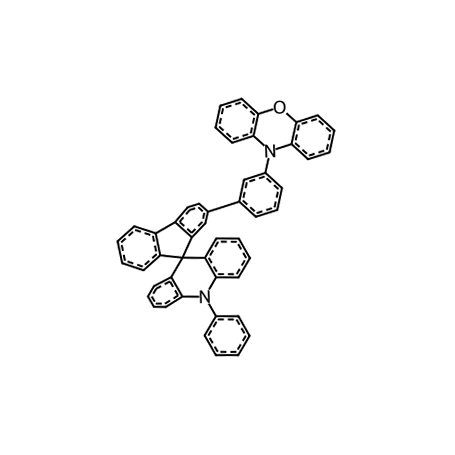 c1ccc(N2c3ccccc3C3(c4ccccc4-c4ccc(-c5cccc(N6c7ccccc7Oc7ccccc76)c5)cc43)c3ccccc32)cc1